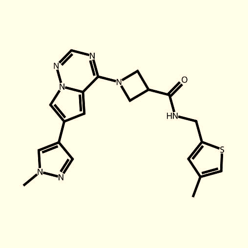 Cc1csc(CNC(=O)C2CN(c3ncnn4cc(-c5cnn(C)c5)cc34)C2)c1